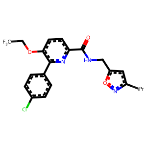 CC(C)c1cc(CNC(=O)c2ccc(OCC(F)(F)F)c(-c3ccc(Cl)cc3)n2)on1